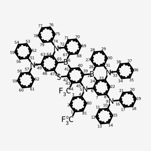 FC(F)(F)c1ccc(N2c3cc(N(c4ccccc4)c4ccccc4)cc4c3B(c3ccccc3N4c3ccccc3)c3cc4c(c(C(F)(F)F)c32)Sc2cc(N(c3ccccc3)c3ccccc3)cc3c2B4c2ccccc2N3c2ccccc2)cc1